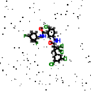 C[C@@]1(c2cc(Cl)cc(Cl)c2)[C@@H](C(=O)Nc2ccc(Cl)c(C(=O)Nc3ccc(F)cc3F)c2)C1(Cl)Cl